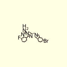 Nc1nc2c(F)cccc2c2nc(Cn3cc4ccc(Br)cc4c3)cn12